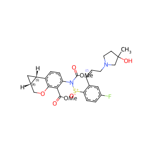 COC(=O)c1c(N(C(=O)OC)[S+]([O-])c2ccc(F)cc2/C=C\CN2CCC(C)(O)C2)ccc2c1OC[C@@H]1C[C@H]21